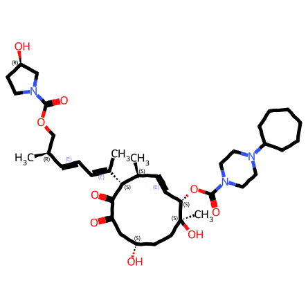 C/C(=C\C=C\[C@@H](C)COC(=O)N1CC[C@@H](O)C1)[C@H]1C(=O)C(=O)C[C@@H](O)CC[C@](C)(O)[C@@H](OC(=O)N2CCN(C3CCCCCC3)CC2)/C=C/[C@@H]1C